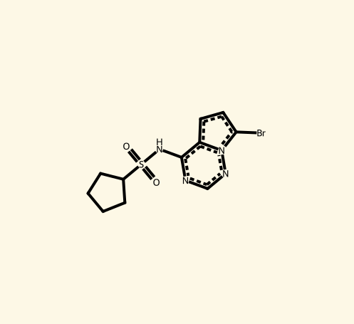 O=S(=O)(Nc1ncnn2c(Br)ccc12)C1CCCC1